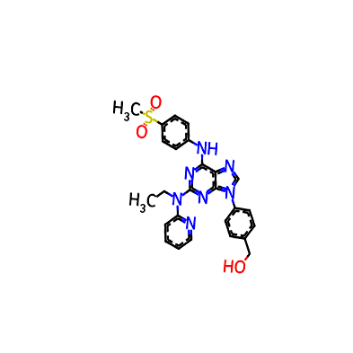 CCN(c1ccccn1)c1nc(Nc2ccc(S(C)(=O)=O)cc2)c2ncn(-c3ccc(CO)cc3)c2n1